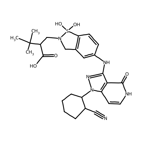 CC(C)(C)C(CN1Cc2cc(Nc3nn(C4CCCCC4C#N)c4cc[nH]c(=O)c34)ccc2S1(O)O)C(=O)O